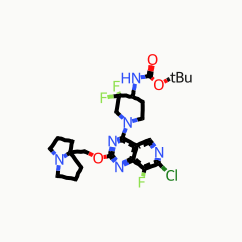 CC(C)(C)OC(=O)NC1CCN(c2nc(OCC34CCCN3CCC4)nc3c(F)c(Cl)ncc23)CC1(F)F